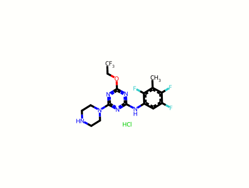 Cc1c(F)c(F)cc(Nc2nc(OCC(F)(F)F)nc(N3CCNCC3)n2)c1F.Cl